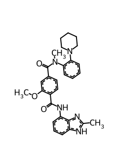 COc1cc(C(=O)N(C)c2ccccc2N2CCCCC2)ccc1C(=O)Nc1cccc2[nH]c(C)nc12